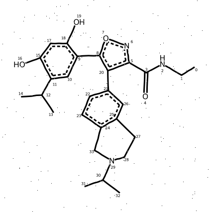 CCNC(=O)c1noc(-c2cc(C(C)C)c(O)cc2O)c1-c1ccc2c(c1)CCN(C(C)C)C2